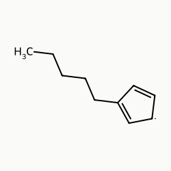 CCCCCC1=C[CH]C=C1